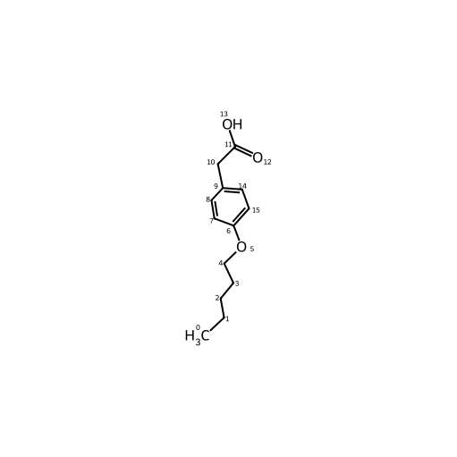 CCCCCOc1ccc(CC(=O)O)cc1